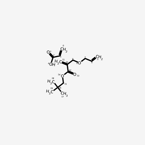 C=CC(=O)O.C=CCOCC(=C)C(=O)OCC(C)(C)C